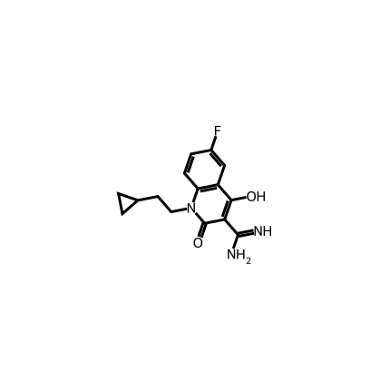 N=C(N)c1c(O)c2cc(F)ccc2n(CCC2CC2)c1=O